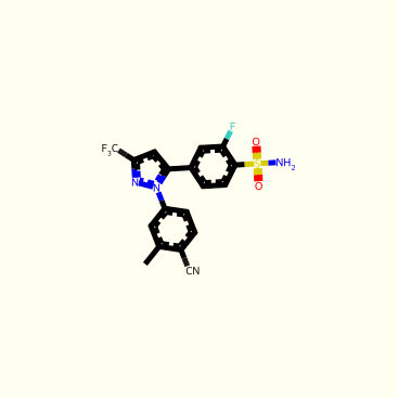 Cc1cc(-n2nc(C(F)(F)F)cc2-c2ccc(S(N)(=O)=O)c(F)c2)ccc1C#N